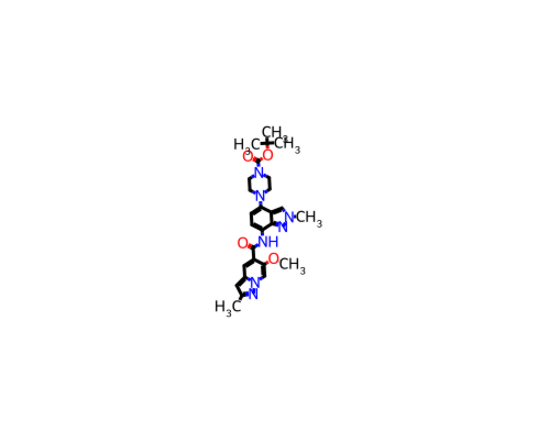 COc1cn2nc(C)cc2cc1C(=O)Nc1ccc(N2CCN(C(=O)OC(C)(C)C)CC2)c2cn(C)nc12